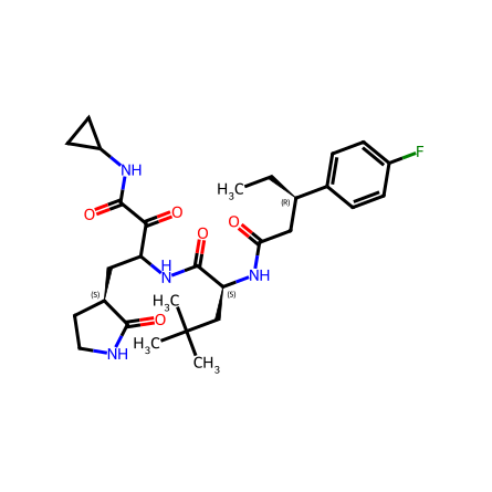 CC[C@H](CC(=O)N[C@@H](CC(C)(C)C)C(=O)NC(C[C@@H]1CCNC1=O)C(=O)C(=O)NC1CC1)c1ccc(F)cc1